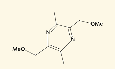 COCc1nc(C)c(COC)nc1C